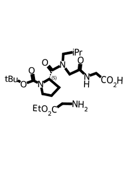 CC(C)CN(CC(=O)NCC(=O)O)C(=O)[C@@H]1CCCN1C(=O)OC(C)(C)C.CCOC(=O)CN